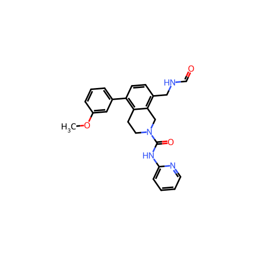 COc1cccc(-c2ccc(CNC=O)c3c2CCN(C(=O)Nc2ccccn2)C3)c1